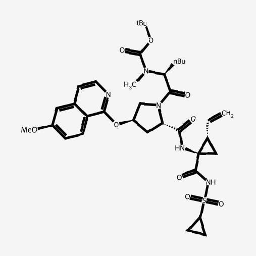 C=C[C@@H]1C[C@]1(NC(=O)[C@@H]1C[C@@H](Oc2nccc3cc(OC)ccc23)CN1C(=O)[C@H](CCCC)N(C)C(=O)OC(C)(C)C)C(=O)NS(=O)(=O)C1CC1